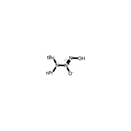 CCCN(/[N+]([O-])=N/O)C(C)(C)C